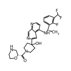 C[C@@H](Nc1ccnc2cnc(C3(O)CCN(C(=O)[C@H]4CNCCO4)CC3)cc12)c1cccc(C(F)F)c1F